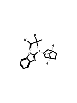 O=C(O)C(F)(F)F.c1ccc2oc(O[C@@H]3C[C@H]4CC[C@@H](C3)N4)nc2c1